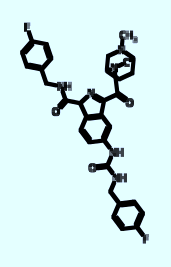 CN1CC2CCC1CN2C(=O)C1=NC(C(=O)NCc2ccc(F)cc2)c2ccc(NC(=O)NCc3ccc(F)cc3)cc21